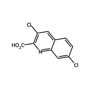 O=C(O)c1nc2cc(Cl)ccc2cc1Cl